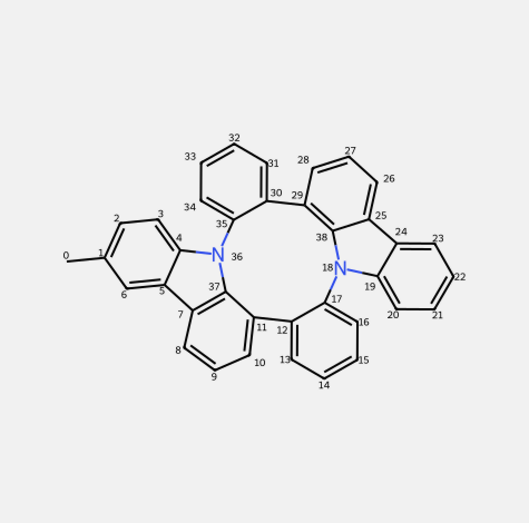 Cc1ccc2c(c1)c1cccc3c4ccccc4n4c5ccccc5c5cccc(c6ccccc6n2c31)c54